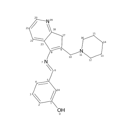 Oc1cccc(/C=N/C2=C(CN3CCCCC3)Cc3ncccc32)c1